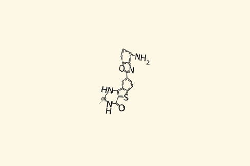 C[C@@H]1CNc2c(sc3ccc(-c4nc5c(N)cccc5o4)cc23)C(=O)N1